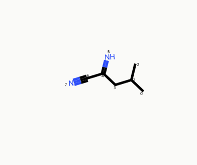 CC(C)CC(=N)C#N